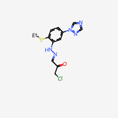 CCSc1ccc(-n2cncn2)cc1NN=CC(=O)CCl